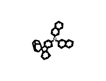 c1ccc2c(c1)-c1cc(N(c3ccc4ccccc4c3)c3ccc4ccccc4c3)ccc1C21C2CC3CC(C2)CC1C3